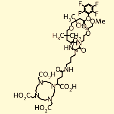 COCCOCCNC(=O)[C@@H](CCCCNC(=O)CCC(C(=O)O)N1CCN(CC(=O)O)CCN(CC(=O)O)CCN(CC(=O)O)CC1)NC(=O)CC(C)(C)COCC(C)(C)CC(=O)Oc1c(F)c(F)cc(F)c1F